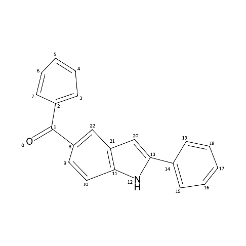 O=C(c1ccccc1)c1ccc2[nH]c(-c3ccccc3)cc2c1